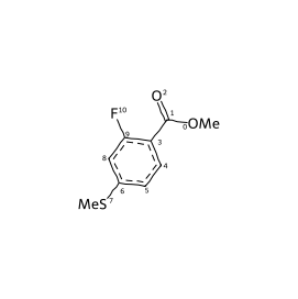 COC(=O)c1ccc(SC)cc1F